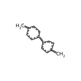 C=c1ccc(=c2ccc(=C)cc2)cc1